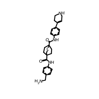 NCc1ccc(NC(=O)C23CCC(C(=O)Nc4ccc(C5=CCNCC5)cc4)(CC2)CC3)cc1